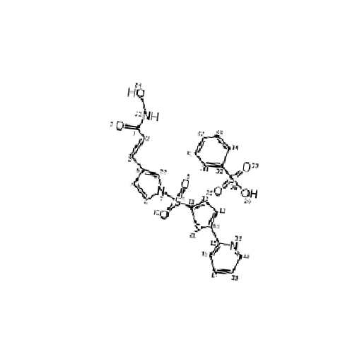 O=C(C=Cc1ccn(S(=O)(=O)c2ccc(-c3ccccn3)s2)c1)NO.O=S(=O)(O)c1ccccc1